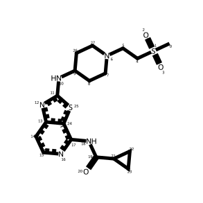 CS(=O)(=O)CCN1CCC(Nc2nc3ccnc(NC(=O)C4CC4)c3s2)CC1